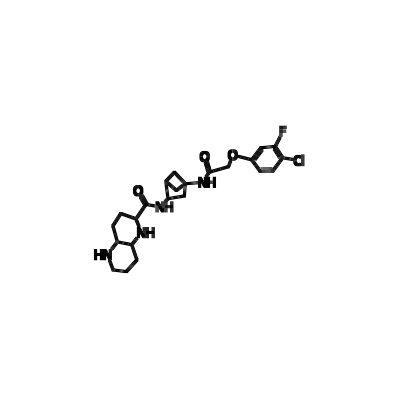 O=C(COc1ccc(Cl)c(F)c1)NC12CC(C1)C(NC(=O)C1CCC3NCCCC3N1)C2